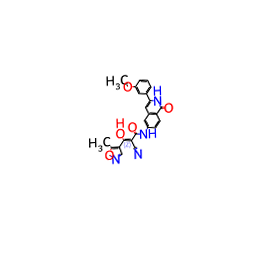 COc1cccc(-c2cc3cc(NC(=O)/C(C#N)=C(\O)c4cnoc4C)ccc3c(=O)[nH]2)c1